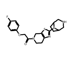 O=C(COc1ccc(F)cc1)N1CCc2nc(N3C4CCC3CNC4)sc2C1